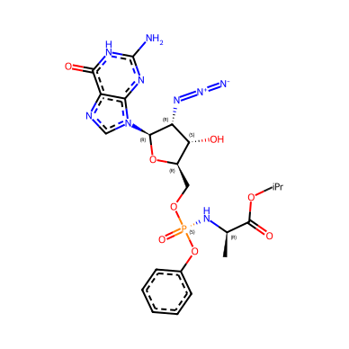 CC(C)OC(=O)[C@@H](C)N[P@](=O)(OC[C@H]1O[C@@H](n2cnc3c(=O)[nH]c(N)nc32)[C@H](N=[N+]=[N-])[C@@H]1O)Oc1ccccc1